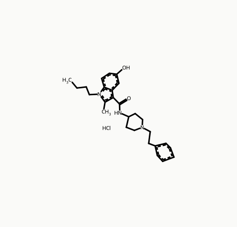 CCCCn1c(C)c(C(=O)NC2CCN(CCc3ccccc3)CC2)c2cc(O)ccc21.Cl